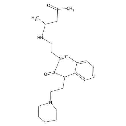 CC(=O)CC(C)NCCNC(=O)C(CCN1CCCCC1)c1ccccc1Cl